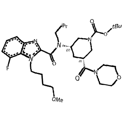 COCCCCn1c(C(=O)N(CC(C)C)[C@H]2C[C@@H](C(=O)N3CCOCC3)CN(C(=O)OC(C)(C)C)C2)nc2cccc(F)c21